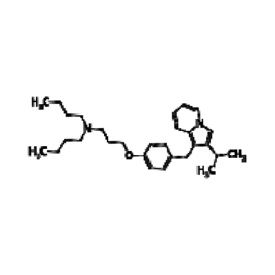 CCCCN(CCCC)CCCOc1ccc(Cc2c(C(C)C)cn3ccccc23)cc1